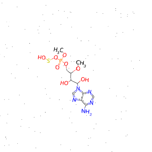 COC(COP(=O)(OC)OSO)C(O)C(O)n1cnc2c(N)ncnc21